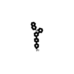 CC(C)c1ccc(-c2ccc(-c3ccc4c(c3)c3ccccc3n4-c3ccc4ccccc4c3)cc2)cc1